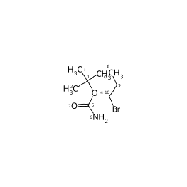 CC(C)(C)OC(N)=O.CCCBr